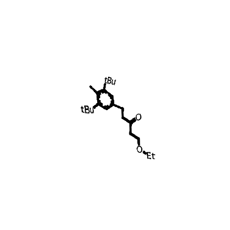 CCOCCC(=O)CCc1cc(C(C)(C)C)c(C)c(C(C)(C)C)c1